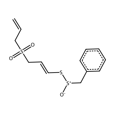 C=CCS(=O)(=O)C/C=C/S[S+]([O-])Cc1ccccc1